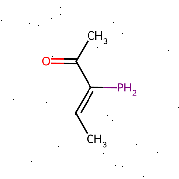 CC=C(P)C(C)=O